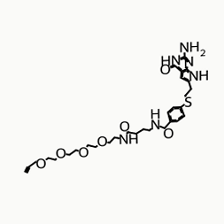 C#CCOCCOCCOCCOCCNC(=O)CCCNC(=O)c1ccc(SCCc2cc3c(=O)[nH]c(N)nc3[nH]2)cc1